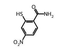 NC(=O)c1ccc([N+](=O)[O-])cc1S